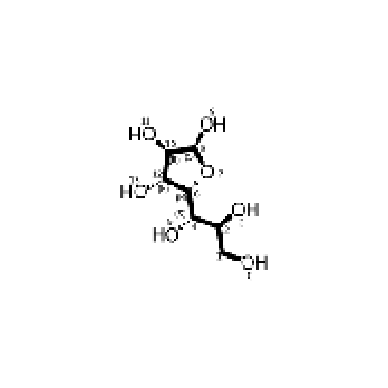 OCC(O)[C@H](O)[C@H]1O[C@H](O)[C@H](O)[C@H]1O